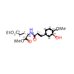 CCOC(=O)CC[C@H](NC(=O)/C=C/c1ccc(OC)c(O)c1)C(=O)OC